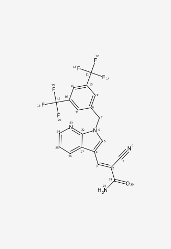 N#C/C(=C\c1cn(Cc2cc(C(F)(F)F)cc(C(F)(F)F)c2)c2ncccc12)C(N)=O